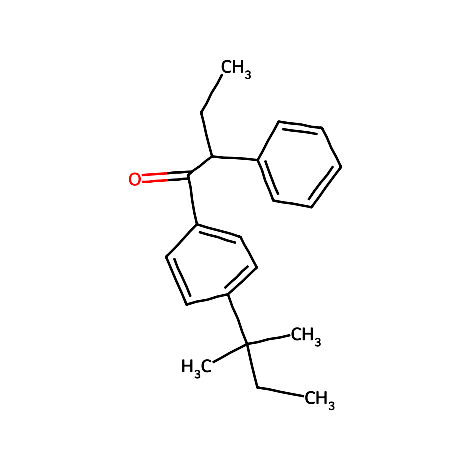 CCC(C(=O)c1ccc(C(C)(C)CC)cc1)c1ccccc1